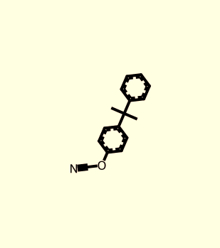 CC(C)(c1ccccc1)c1ccc(OC#N)cc1